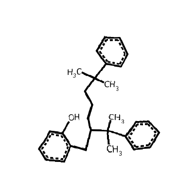 CC(C)(CCCC(Cc1ccccc1O)C(C)(C)c1ccccc1)c1ccccc1